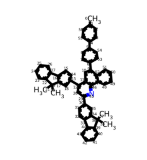 Cc1ccc(-c2ccc(-c3cc4c(-c5ccc6c(c5)C(C)(C)c5ccccc5-6)cc(-c5ccc6c(c5)C(C)(C)c5ccccc5-6)nc4c4ccccc34)cc2)cc1